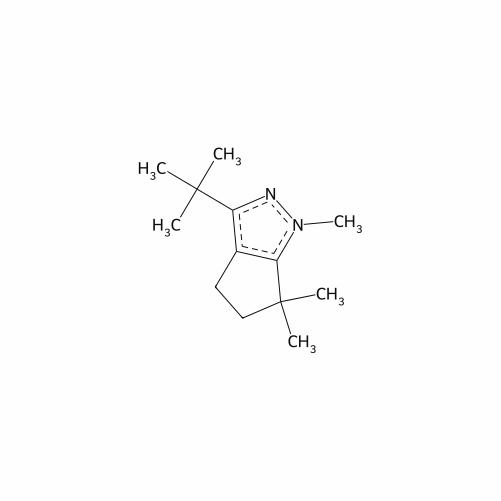 Cn1nc(C(C)(C)C)c2c1C(C)(C)CC2